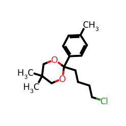 Cc1ccc(C2(CCCCCl)OCC(C)(C)CO2)cc1